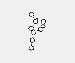 c1ccc(-c2ccc(-c3cccc(-c4ccc5sc6cccc(-c7nc(-c8ccccc8)nc(-c8ccccc8)n7)c6c5c4)c3)cc2)cc1